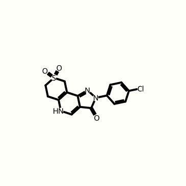 O=c1c2c[nH]c3c(c-2nn1-c1ccc(Cl)cc1)CS(=O)(=O)CC3